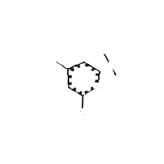 Cc1ccnc(N)c1.[Cl][Pd][Cl]